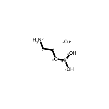 NCCOB(O)O.[Cu]